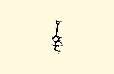 NCC(F)(F)c1ncc(C#CC2CC2)cc1Cl